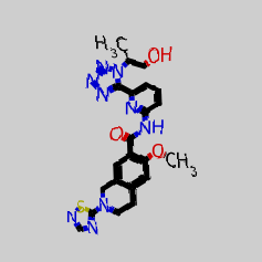 COc1cc2c(cc1C(=O)Nc1cccc(-c3nnnn3[C@H](C)CO)n1)CN(c1ncns1)CC2